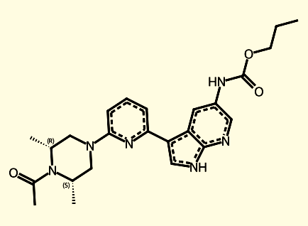 CCCOC(=O)Nc1cnc2[nH]cc(-c3cccc(N4C[C@@H](C)N(C(C)=O)[C@@H](C)C4)n3)c2c1